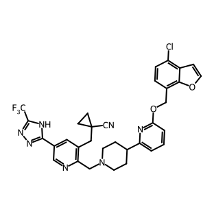 N#CC1(Cc2cc(-c3nnc(C(F)(F)F)[nH]3)cnc2CN2CCC(c3cccc(OCc4ccc(Cl)c5ccoc45)n3)CC2)CC1